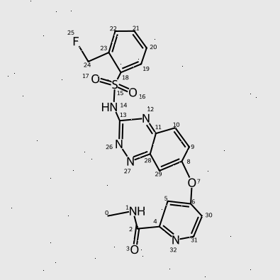 CNC(=O)c1cc(Oc2ccc3nc(NS(=O)(=O)c4ccccc4CF)nnc3c2)ccn1